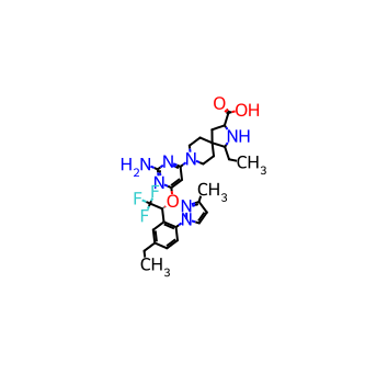 CCc1ccc(-n2ccc(C)n2)c([C@@H](Oc2cc(N3CCC4(CC3)CC(C(=O)O)NC4CC)nc(N)n2)C(F)(F)F)c1